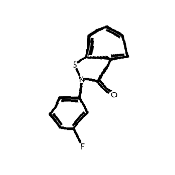 O=c1c2ccccc2sn1-c1cccc(F)c1